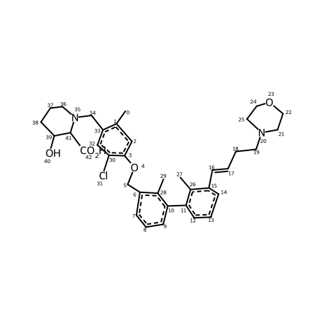 Cc1cc(OCc2cccc(-c3cccc(/C=C/CCN4CCOCC4)c3C)c2C)c(Cl)cc1CN1CCCC(O)C1C(=O)O